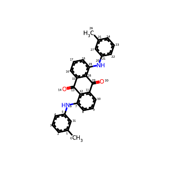 Cc1cccc(Nc2cccc3c2C(=O)c2cccc(Nc4cccc(C)c4)c2C3=O)c1